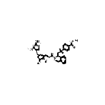 COc1cc(Cc2cnc(N)nc2N)cc(C=CC(=O)N2N=Cc3ccccc3C2CC(C)(C)c2ccc(C(=O)OO)cc2)c1OC